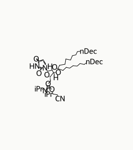 CCCCCCCCCCCCCCCCCC1(CCCCCCCCCCCCCCCCC)O[C@@H]2[C@H](O1)[C@@H](COP(OCCC#N)N(C(C)C)C(C)C)O[C@H]2n1ccc(=O)[nH]c1=O